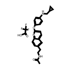 CC(=O)NCCc1ccc2nc(Oc3ccc(NCC4CC4)cc3)ccc2c1.O=C(O)C(F)(F)F